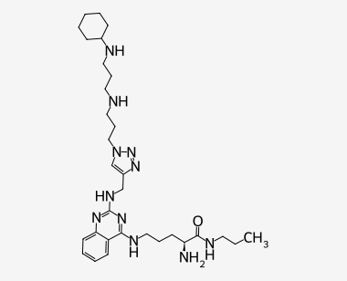 CCCNC(=O)[C@@H](N)CCCNc1nc(NCc2cn(CCCNCCCNC3CCCCC3)nn2)nc2ccccc12